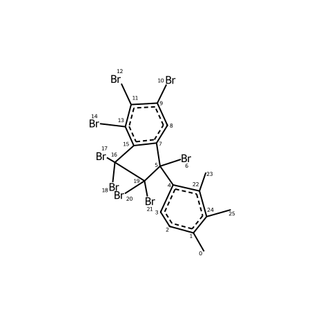 Cc1ccc(C2(Br)c3cc(Br)c(Br)c(Br)c3C(Br)(Br)C2(Br)Br)c(C)c1C